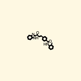 Cc1ccccc1NC(=O)c1ccc(C=CC(=O)c2nc3ccccc3[nH]2)cc1